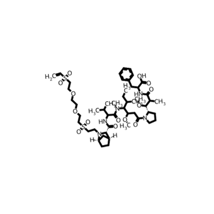 C=CS(=O)(=O)CCOCCOCCS(=O)(=O)CCN1[C@@H]2CC[C@@H](C2)[C@H]1C(=O)NC(C(=O)N(C)C(C(C)CC)C(CC(=O)N1CCC[C@H]1C(OC)C(C)C(=O)NC(Cc1ccccc1)C(=O)O)OC)C(C)C